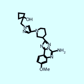 COc1ccc2c(c1)nc(N)n1nc(C3CCCN(c4cnn(CC5(O)CCC5)c4)C3)nc21